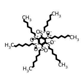 CCCCCCC[S+]([O-])c1c([S+]([O-])CCCCCCC)c([S+]([O-])CCCCCCC)c([S+]([O-])CCCCCCC)c([S+]([O-])CCCCCCC)c1[S+]([O-])CCCCCCC